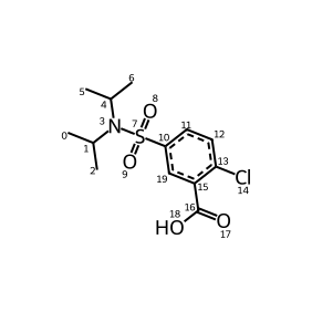 CC(C)N(C(C)C)S(=O)(=O)c1ccc(Cl)c(C(=O)O)c1